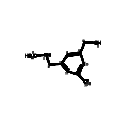 O=C(O)NCc1cc(CO)nc(C(F)(F)F)c1